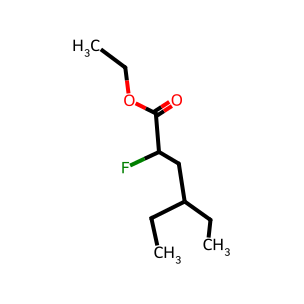 CCOC(=O)C(F)CC(CC)CC